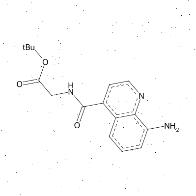 CC(C)(C)OC(=O)CNC(=O)c1ccnc2c(N)cccc12